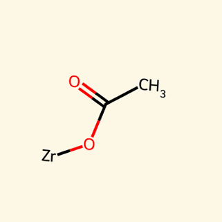 CC(=O)[O][Zr]